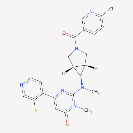 CN(c1nc(-c2ccncc2F)cc(=O)n1C)[C@H]1[C@@H]2CN(C(=O)c3ccc(Cl)nc3)C[C@@H]21